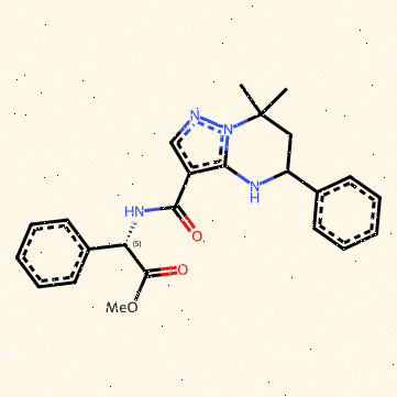 COC(=O)[C@@H](NC(=O)c1cnn2c1NC(c1ccccc1)CC2(C)C)c1ccccc1